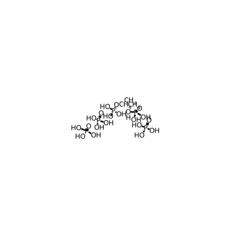 C.C.C.O=P(O)(O)O.O=P(O)(O)O.O=P(O)(O)O.O=P(O)(O)O.O=P(O)(O)O